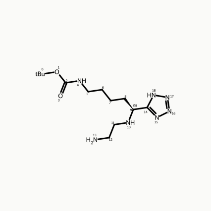 CC(C)(C)OC(=O)NCCCC[C@H](NCCN)c1nnn[nH]1